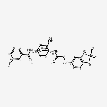 O=C(COc1ccc2c(c1)OC(F)(F)O2)NC12CCC(NC(=O)c3cccc(F)c3)(CC1)CC2O